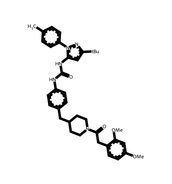 COc1ccc(CC(=O)N2CCC(Cc3ccc(NC(=O)Nc4cc(C(C)(C)C)nn4-c4ccc(C)cc4)cc3)CC2)c(OC)c1